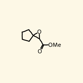 COC(=O)C1OC12CCCC2